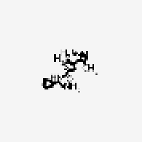 Cc1cnn(C)c1-c1cc(C(=O)NC(CN)c2ccccc2)sc1C